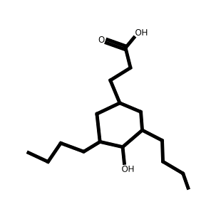 CCCCC1CC(CCC(=O)O)CC(CCCC)C1O